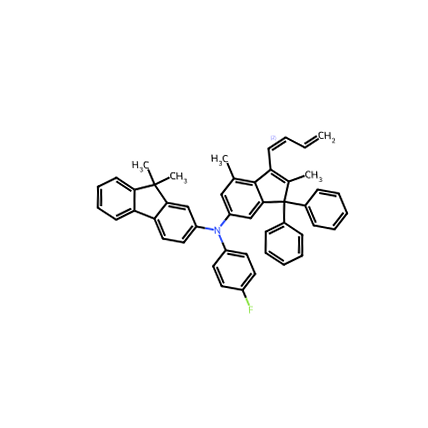 C=C/C=C\C1=C(C)C(c2ccccc2)(c2ccccc2)c2cc(N(c3ccc(F)cc3)c3ccc4c(c3)C(C)(C)c3ccccc3-4)cc(C)c21